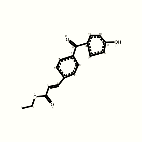 CCOC(=O)C=Cc1ccc(C(=O)c2ccc(O)cc2)cc1